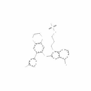 Cc1cnc(-c2cc3c(cc2Sc2nc4c(N)ncnc4n2CCCNS(C)(=O)=O)OCCO3)o1